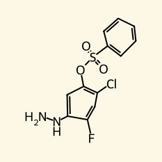 NNc1cc(OS(=O)(=O)c2ccccc2)c(Cl)cc1F